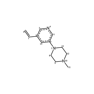 C=Cc1cncc(N2CCN(C)CC2)c1